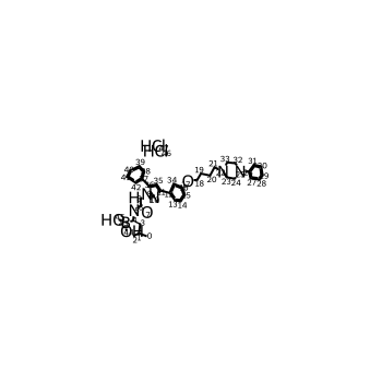 CC(C)C[C@H](NC(=O)Cn1nc(-c2cccc(OCCCCN3CCN(c4ccccc4)CC3)c2)cc1-c1ccccc1)B(O)O.Cl.Cl